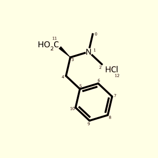 CN(C)[C@@H](Cc1ccccc1)C(=O)O.Cl